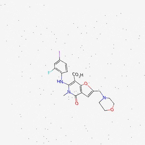 Cn1c(Nc2ccc(I)cc2F)c(C(=O)O)c2oc(CN3CCOCC3)cc2c1=O